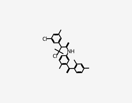 C=C(c1ccc(C)cc1C)c1cc(NC(=C)C(c2cc(C)cc(Cl)c2)C(C)(C)Cl)ccc1C